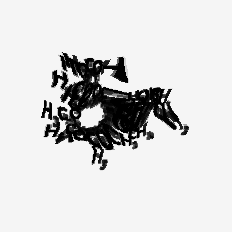 CC[C@H]1OC(=O)[C@H](C)[C@@H](O[C@H]2C[C@@](C)(O)[C@@H](O)[C@H](C)O2)[C@H](C)[C@@H](O[C@@H]2O[C@H](C)C[C@H](N(C)C)[C@H]2O)[C@](C)(O)C[C@@H](C)C(=O)[C@H](C)[C@@H](O)[C@H]1C